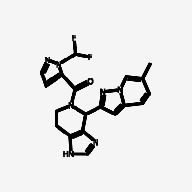 Cc1ccc2cc(C3c4nc[nH]c4CCN3C(=O)c3ccnn3C(F)F)nn2c1